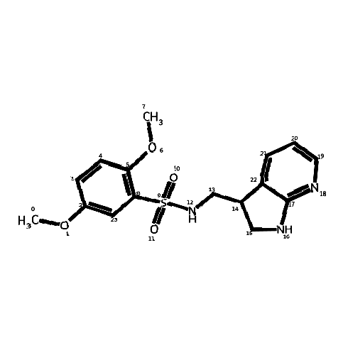 COc1ccc(OC)c(S(=O)(=O)NCC2CNc3ncccc32)c1